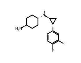 N[C@H]1CC[C@H](N[C@H]2C[C@@H]2c2ccc(F)c(F)c2)CC1